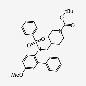 COc1ccc(N(CC2CCN(C(=O)OC(C)(C)C)CC2)S(=O)(=O)c2ccccc2)c(-c2ccccc2)c1